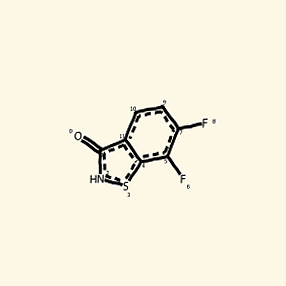 O=c1[nH]sc2c(F)c(F)ccc12